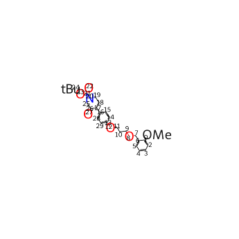 COc1ccccc1COCCCOc1ccc(C2CCN(C(=O)OC(C)(C)C)CC2=O)cc1